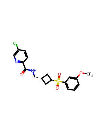 O=C(NC[C@H]1C[C@H](S(=O)(=O)c2cccc(OC(F)(F)F)c2)C1)c1ccc(Cl)cn1